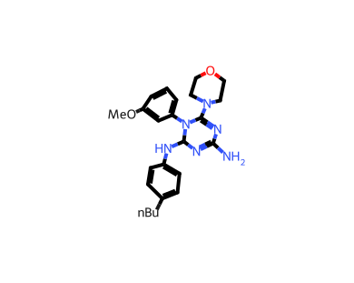 CCCCc1ccc(NC2N=C(N)N=C(N3CCOCC3)N2c2cccc(OC)c2)cc1